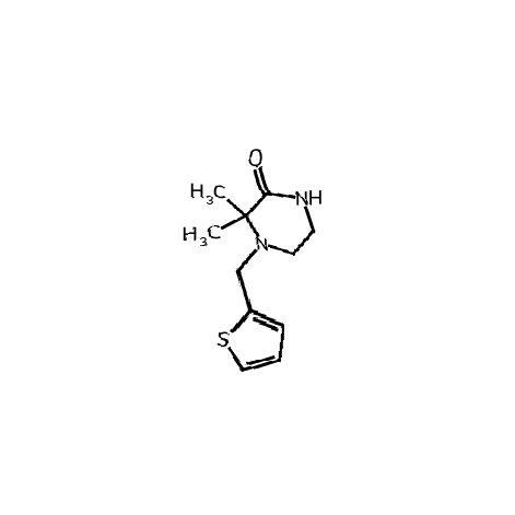 CC1(C)C(=O)NCCN1Cc1cccs1